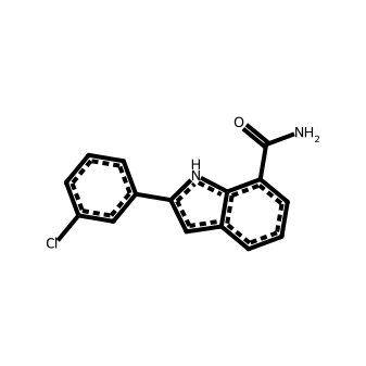 NC(=O)c1cccc2cc(-c3cccc(Cl)c3)[nH]c12